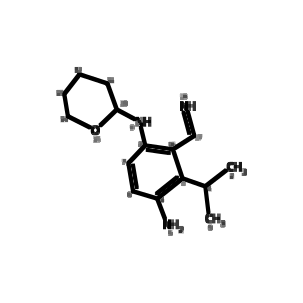 CC(C)c1c(N)ccc(NC2CCCCO2)c1C=N